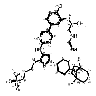 C[C@@H](CNC=N)Oc1cc(-c2cnc(Nc3cn([C@H]4CC[C@H](N5[C@@H]6CC[C@H]5COC6)CC4)nc3OCCC[SH](C)(C)=O)nc2)ccc1Cl